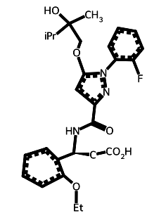 CCOc1ccccc1[C@H](CC(=O)O)NC(=O)c1cc(OCC(C)(O)C(C)C)n(-c2ccccc2F)n1